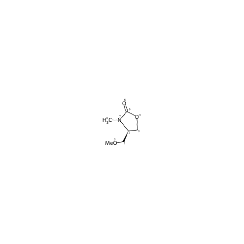 COC[C@@H]1COC(=O)N1C